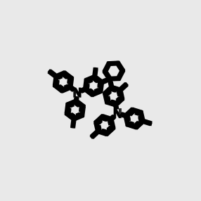 Cc1ccc(N(c2ccc(C)cc2)c2ccc(C3(c4ccc(N(c5ccc(C)cc5)c5ccc(C)cc5)cc4C)CCCCC3)c(C)c2)cc1